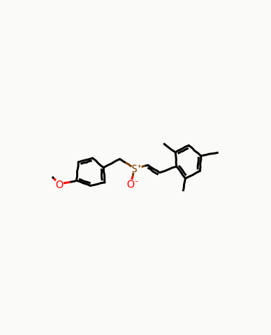 COc1ccc(C[S+]([O-])/C=C/c2c(C)cc(C)cc2C)cc1